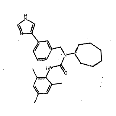 Cc1cc(C)c(NC(=O)N(Cc2cccc(-c3c[nH]cn3)c2)C2CCCCCC2)c(C)c1